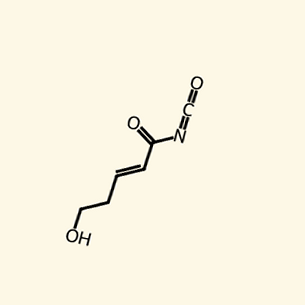 O=C=NC(=O)C=CCCO